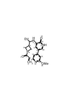 C=CC(=O)N1CC(C(CC)Nc2cc(-c3ccnc(OC)c3)c[nH]c2=O)C1